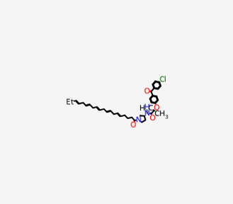 CCC=CCC=CCC=CCC=CCC=CCCCC(=O)N1CCC(NC(=O)C(C)(C)Oc2ccc(C(=O)c3ccc(Cl)cc3)cc2)C1